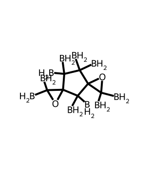 BC1(B)OC12C(B)(B)C(B)(B)C1(OC1(B)B)C2(B)B